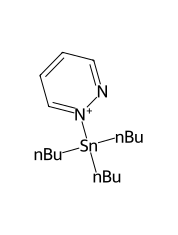 CCC[CH2][Sn]([CH2]CCC)([CH2]CCC)[n+]1ccccn1